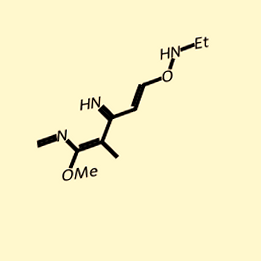 C=N/C(OC)=C(/C)C(=N)/C=C/ONCC